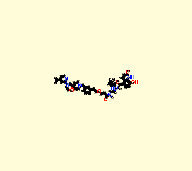 CC(C)c1ccnc(N2CCOC3(CCN(Cc4cccc(CCOCCC(=O)N(C)CCNC[C@H](O[Si](C)(C)C(C)(C)C)c5ccc(O)c6[nH]c(=O)ccc56)c4)CC3)C2)c1